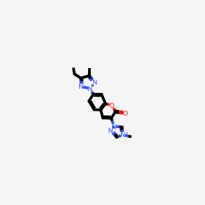 CCc1nn(-c2ccc3cc(-n4c[n+](C)cn4)c(=O)oc3c2)nc1C